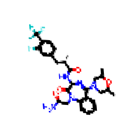 CC1CN(C2=NC(NC(=O)[C@@H](C)Cc3ccc(C(F)(F)F)c(F)c3)C(=O)N(CC(N)=O)c3ccccc32)CC(C)O1